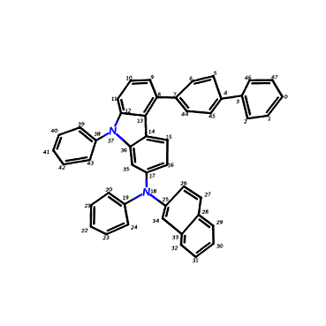 c1ccc(-c2ccc(-c3cccc4c3c3ccc(N(c5ccccc5)c5ccc6ccccc6c5)cc3n4-c3ccccc3)cc2)cc1